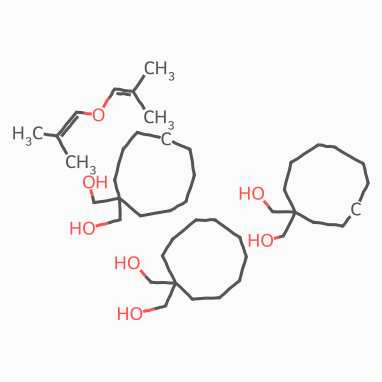 CC(C)=COC=C(C)C.OCC1(CO)CCCCCCCCC1.OCC1(CO)CCCCCCCCC1.OCC1(CO)CCCCCCCCC1